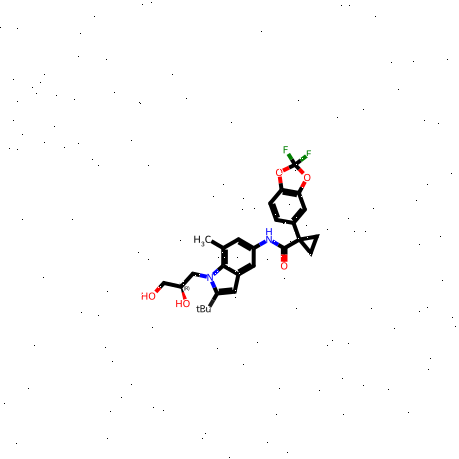 Cc1cc(NC(=O)C2(c3ccc4c(c3)OC(F)(F)O4)CC2)cc2cc(C(C)(C)C)n(C[C@@H](O)CO)c12